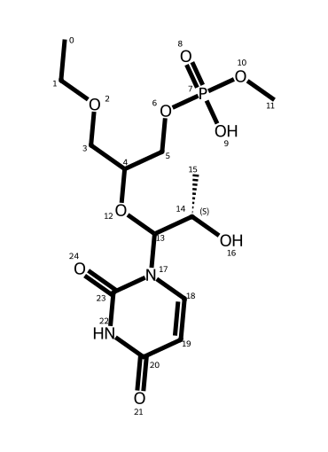 CCOCC(COP(=O)(O)OC)OC([C@H](C)O)n1ccc(=O)[nH]c1=O